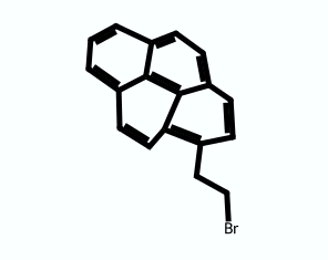 BrCCc1ccc2ccc3cccc4ccc1c2c34